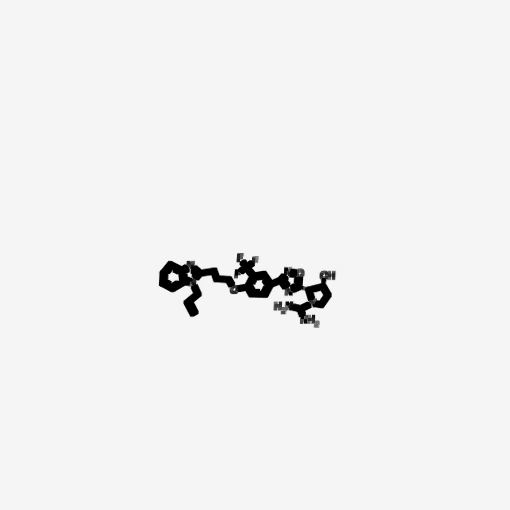 C=CCn1c(CCCOc2ccc(-c3noc([C@@H]4[C@@H](O)CCN4C(N)N)n3)cc2C(F)(F)F)nc2ccccc21